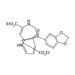 CCOC(=O)C1=CC23C(=CCN1)C=CC=C2NC(C(=O)OCC)C3C(=O)c1ccc2c(c1)OCO2